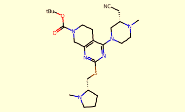 CN1CCC[C@H]1CSc1nc2c(c(N3CCN(C)[C@@H](CC#N)C3)n1)CCN(C(=O)OC(C)(C)C)C2